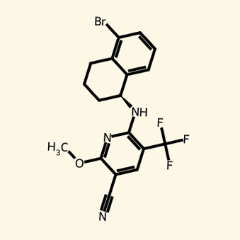 COc1nc(N[C@H]2CCCc3c(Br)cccc32)c(C(F)(F)F)cc1C#N